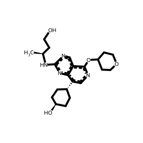 C[C@@H](CCO)Nc1ncc2c(OC3CCOCC3)ncc([C@H]3CC[C@H](O)CC3)c2n1